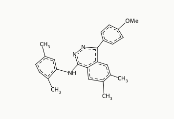 COc1ccc(-c2nnc(Nc3cc(C)ccc3C)c3cc(C)c(C)cc23)cc1